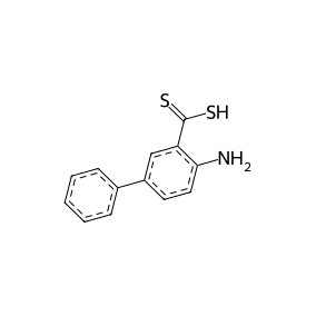 Nc1ccc(-c2ccccc2)cc1C(=S)S